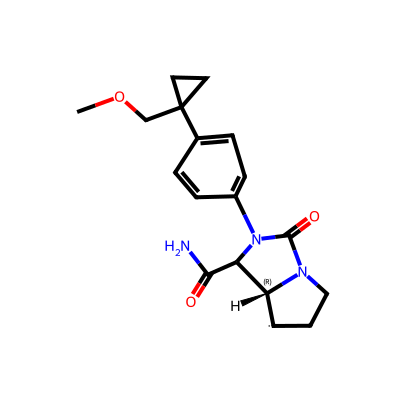 COCC1(c2ccc(N3C(=O)N4CC[CH][C@@H]4C3C(N)=O)cc2)CC1